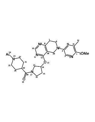 COc1ncc(N2CCc3ncnc(OC4CCN(C(=O)C5CCN(C(C)=O)CC5)C4)c3C2)cc1C